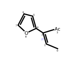 C/C=C(\C(C)=O)c1ccco1